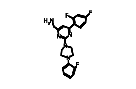 NCc1cc(-c2ccc(F)cc2F)nc(N2CCN(c3ccccc3F)CC2)n1